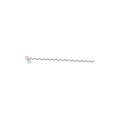 CCCCCCCCCCCCCCCCCCCCCCCCCCCCCCCC(=O)Cl